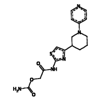 NC(=O)OCC(=O)Nc1nc(C2CCCN(c3ccncc3)C2)cs1